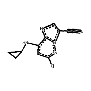 N#Cc1cnc2c(NC3CC3)cc(Cl)nn12